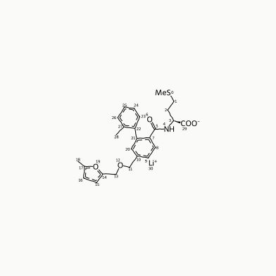 CSCC[C@H](NC(=O)c1ccc(COCc2ccc(C)o2)cc1-c1ccccc1C)C(=O)[O-].[Li+]